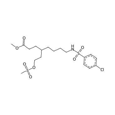 COC(=O)CCC(CCCCNS(=O)(=O)c1ccc(Cl)cc1)CCOS(C)(=O)=O